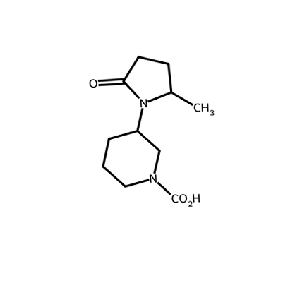 CC1CCC(=O)N1C1CCCN(C(=O)O)C1